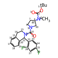 CN(C(=O)OC(C)(C)C)[C@@H]1CCN(C(=O)N2CCc3ccccc3C2c2ccc(F)cc2F)C1